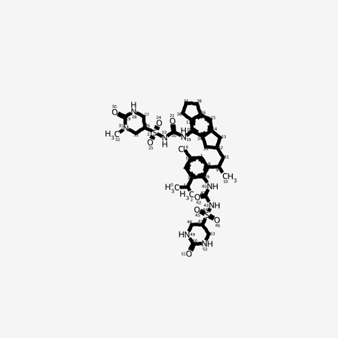 CC(C)c1cc(Cl)cc(C(C)CC2Cc3cc4c(c(NC(=O)NS(=O)(=O)C5CNC(=O)N(C)C5)c3C2)CCC4)c1NC(=O)NS(=O)(=O)C1CNC(=O)NC1